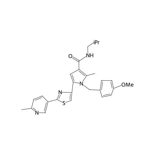 COc1ccc(Cn2c(-c3csc(-c4ccc(C)nc4)n3)cc(C(=O)NCC(C)C)c2C)cc1